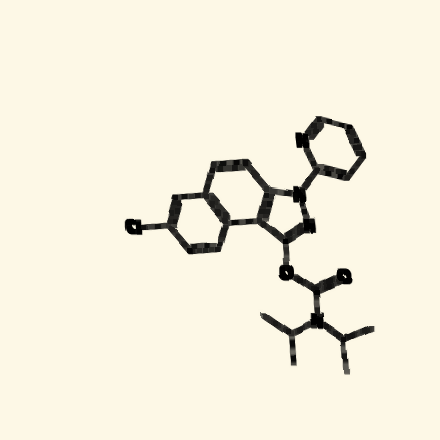 CC(C)N(C(=O)Oc1nn(-c2ccccn2)c2ccc3cc(Cl)ccc3c12)C(C)C